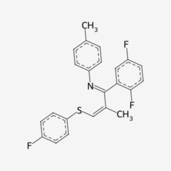 CC(=CSc1ccc(F)cc1)C(=Nc1ccc(C)cc1)c1cc(F)ccc1F